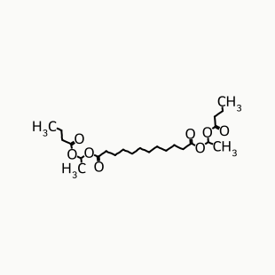 CCCC(=O)OC(C)OC(=O)CCCCCCCCCCC(=O)OC(C)OC(=O)CCC